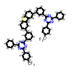 FC(F)(F)c1ccc(-c2nc(-c3ccccc3)nc(-c3cccc(-c4ccc5sc6ccc(-c7cccc(-c8nc(-c9ccccc9)nc(-c9ccc(C(F)(F)F)cc9)n8)c7)cc6c5c4)c3)n2)cc1